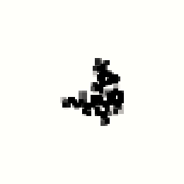 COCCNC(=O)c1cc(NC(=O)c2cc(F)cc(C(F)(F)F)c2)c2n1CC(=O)NC2c1cc(F)ccc1Cl